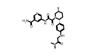 C[C@H]1CC[C@H](c2ccc(NCC(=O)N(C)C)cc2)N(C(=O)C(=O)Nc2cncc(C(N)=O)c2)C1